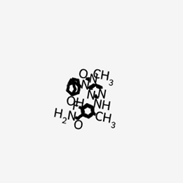 Cc1cc(C(N)=O)c(F)cc1Nc1ncc2c(n1)n(C13CC4CC(O)(CC4C1)C3)c(=O)n2C